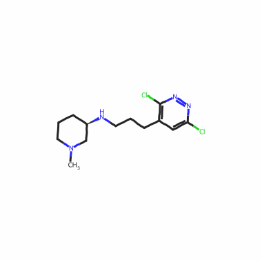 CN1CCC[C@@H](NCCCc2cc(Cl)nnc2Cl)C1